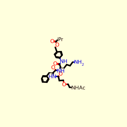 CC(=O)NCCOCCC(=O)N[C@@H](Cc1ccccc1)C(=O)N[C@@H](CCCCN)C(=O)Nc1ccc(COC(=O)C(C)C)cc1